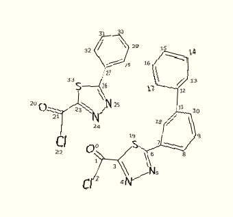 O=C(Cl)c1nnc(-c2cccc(-c3ccccc3)c2)s1.O=C(Cl)c1nnc(-c2ccccc2)s1